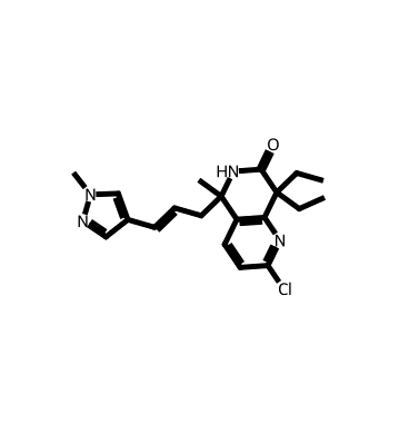 CCC1(CC)C(=O)NC(C)(CC=Cc2cnn(C)c2)c2ccc(Cl)nc21